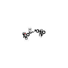 CN(C(=O)c1ccc(NCCC[C@@H]2CC23CCN(C(=O)C(C)(c2ccccc2)C(F)(F)F)CC3)cc1Cl)C1CC1